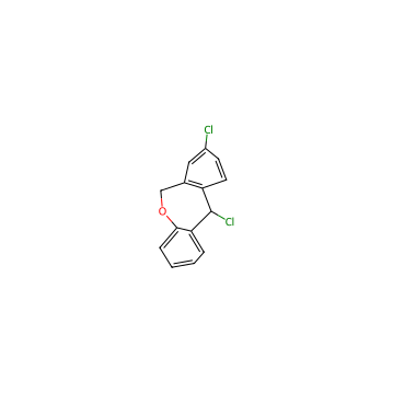 Clc1ccc2c(c1)COc1ccccc1C2Cl